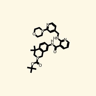 CC(C)(C)OC(=O)N1Cc2cc(NC(=O)c3cccnc3NCc3ccnc(N4CCOCC4)c3)ccc2C(C)(C)C1